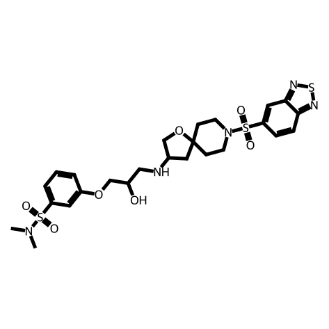 CN(C)S(=O)(=O)c1cccc(OCC(O)CNC2COC3(CCN(S(=O)(=O)c4ccc5nsnc5c4)CC3)C2)c1